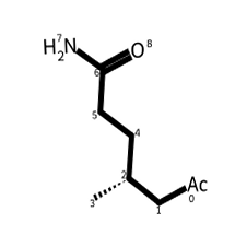 CC(=O)C[C@H](C)CCC(N)=O